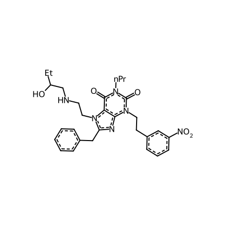 CCCn1c(=O)c2c(nc(Cc3ccccc3)n2CCNCC(O)CC)n(CCc2cccc([N+](=O)[O-])c2)c1=O